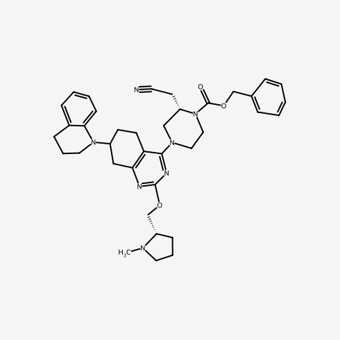 CN1CCC[C@H]1COc1nc2c(c(N3CCN(C(=O)OCc4ccccc4)[C@@H](CC#N)C3)n1)CCC(N1CCCc3ccccc31)C2